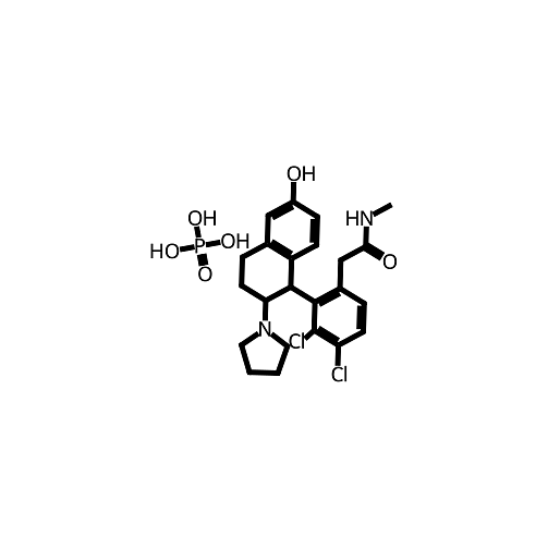 CNC(=O)Cc1ccc(Cl)c(Cl)c1C1c2ccc(O)cc2CCC1N1CCCC1.O=P(O)(O)O